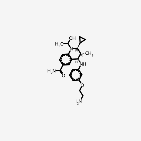 CC(O)N1c2ccc(C(N)=O)cc2[C@H](Nc2cccc(OCCN)c2)[C@@H](C)[C@@H]1C1CC1